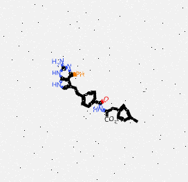 Cc1ccc(CC(NC(=O)c2ccc(CCc3c[nH]c4[nH]c(N)nc(=P)c34)cc2)C(=O)O)cc1